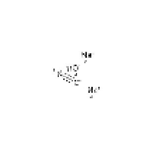 [C-]#N.[Na+].[Na+].[OH-]